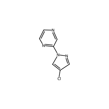 Clc1cnn(-c2cnccn2)c1